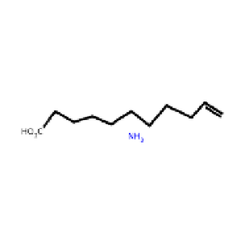 C=CCCCCCCCCC(=O)O.N